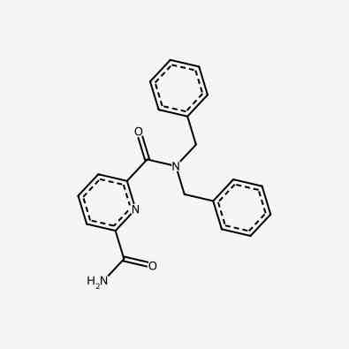 NC(=O)c1cccc(C(=O)N(Cc2ccccc2)Cc2ccccc2)n1